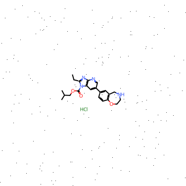 CCc1nc2ncc(-c3ccc4c(c3)CNCCO4)cc2n1C(=O)OCC(C)C.Cl